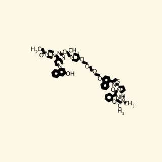 C=CC(=O)N1CCN(c2nc(OC(C)CN3CCC(OCCOCCOCCOc4ccc(-c5csc([C@@H]6CCCN6C(=O)C(NC(=O)C(C)NC)C6CCCCC6)n5)c5ccccc45)CC3)nc3c2CCN(c2cc(O)cc4ccccc24)C3)CC1